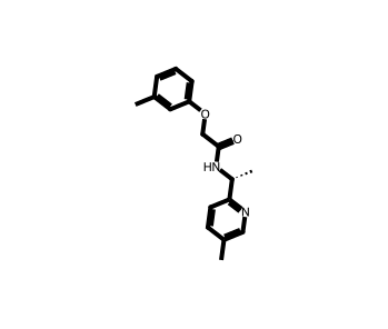 Cc1ccc([C@@H](C)NC(=O)COc2cccc(C)c2)nc1